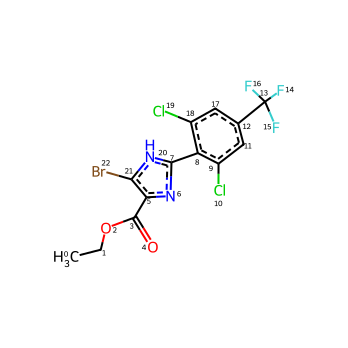 CCOC(=O)c1nc(-c2c(Cl)cc(C(F)(F)F)cc2Cl)[nH]c1Br